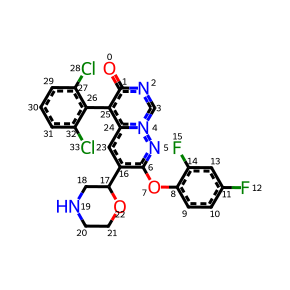 O=c1ncn2nc(Oc3ccc(F)cc3F)c(C3CNCCO3)cc2c1-c1c(Cl)cccc1Cl